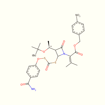 CC(C)=C(C(=O)OCc1ccc([N+](=O)[O-])cc1)N1C(=O)C([C@H](C)O[Si](C)(C)C(C)(C)C)C1SC(=O)SOc1ccc(C(N)=O)cc1